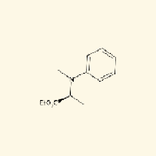 CCOC(=O)[C@H](C)N(C)c1ccccc1